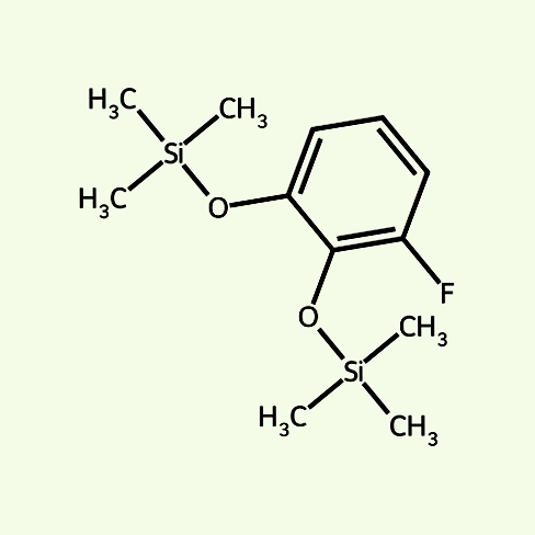 C[Si](C)(C)Oc1cccc(F)c1O[Si](C)(C)C